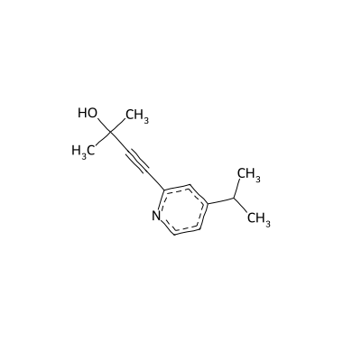 CC(C)c1ccnc(C#CC(C)(C)O)c1